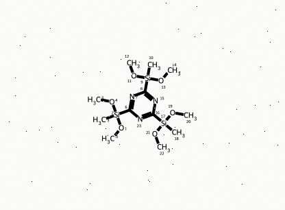 CO[Si](C)(OC)c1nc([Si](C)(OC)OC)nc([Si](C)(OC)OC)n1